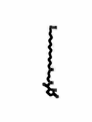 CCCC(C)CCCCCCCCCCCCNCCCNC(=O)C1CCC(=O)N1